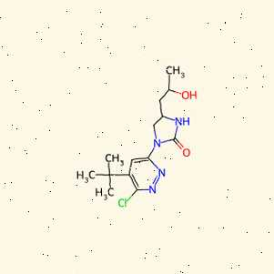 CC(O)CC1CN(c2cc(C(C)(C)C)c(Cl)nn2)C(=O)N1